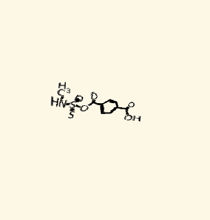 CNS(=O)(=S)OC(=O)c1ccc(C(=O)O)cc1